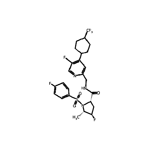 C[C@H]1[C@H](F)C[C@@H](C(=O)NCc2cc(C3CCC(C(F)(F)F)CC3)c(F)cn2)N1S(=O)(=O)c1ccc(F)cc1